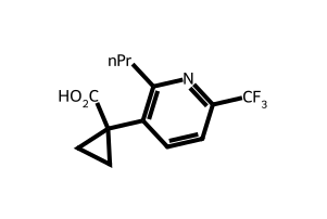 CCCc1nc(C(F)(F)F)ccc1C1(C(=O)O)CC1